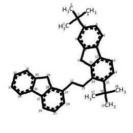 CC(C)(C)c1ccc2c(c1)Cc1c-2ccc(C(C)(C)C)c1CCc1cccc2c1Cc1ccccc1-2